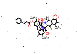 COc1cc2c(cc1OC(=O)/C=C/c1ccccc1)CCN[C@]21CS[C@@H]2c3c(OC(C)=O)c(C)c4c(c3[C@H](COC1=O)N1C2[C@H]2c3c(cc(C)c(OC)c3O)C[C@@H]([C@@H]1O)N2C)OCO4